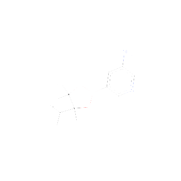 CC(C)C1(C)OB(c2cncc(N)c2)OC1(C)C